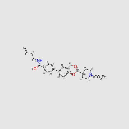 C=CCCNC(=O)c1ccc(-c2ccc3c(c2)COC(C2CCN(C(=O)OCC)CC2)O3)cc1